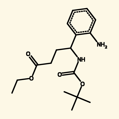 CCOC(=O)CCC(NC(=O)OC(C)(C)C)c1ccccc1N